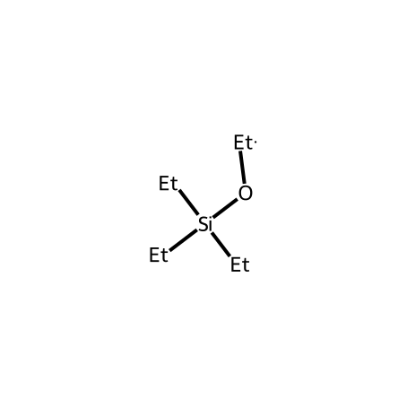 C[CH]O[Si](CC)(CC)CC